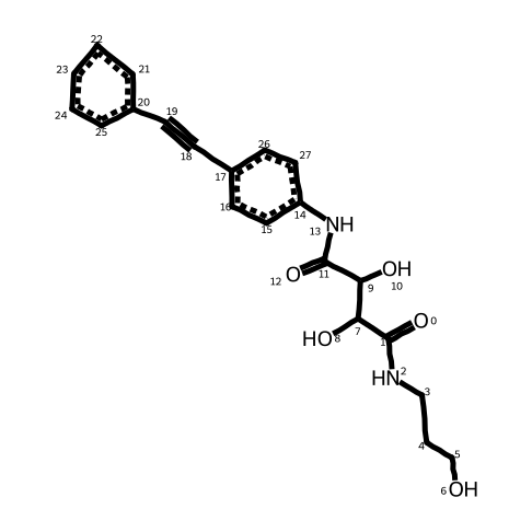 O=C(NCCCO)C(O)C(O)C(=O)Nc1ccc(C#Cc2ccccc2)cc1